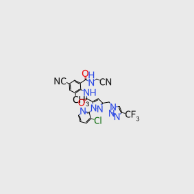 Cc1cc(C#N)cc(C(=O)NCC#N)c1NC(=O)c1cc(Cn2cc(C(F)(F)F)nn2)nn1-c1ncccc1Cl